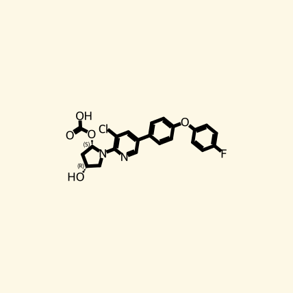 O=C(O)O[C@H]1C[C@@H](O)CN1c1ncc(-c2ccc(Oc3ccc(F)cc3)cc2)cc1Cl